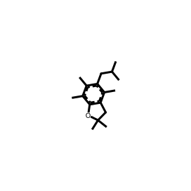 Cc1c(C)c2c(c(C)c1CC(C)C)CC(C)(C)O2